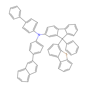 c1ccc(-c2ccc(N(c3ccc(-c4ccc5ccccc5c4)cc3)c3ccc4c(c3)C(c3ccccc3)(c3cccc5c3sc3ccccc35)c3ccccc3-4)cc2)cc1